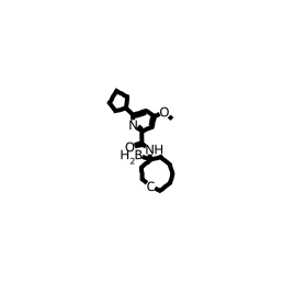 BC1(NC(=O)c2cc(OC)cc(C3CCCC3)n2)CCCCCCCC1